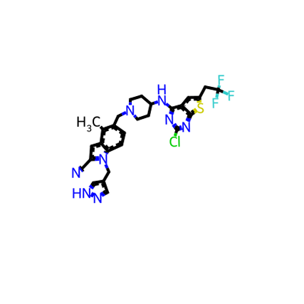 Cc1c(CN2CCC(Nc3nc(Cl)nc4sc(CC(F)(F)F)cc34)CC2)ccc2c1cc(C#N)n2Cc1cn[nH]c1